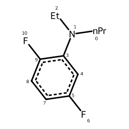 CCCN(CC)c1cc(F)ccc1F